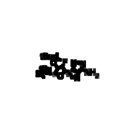 CC(C)(C)[Si](C)(C)OC[C@H]1O[C@@H](n2cnc3c(N)ncnc32)C(F)C1O[Si](C)(C)C(C)(C)C